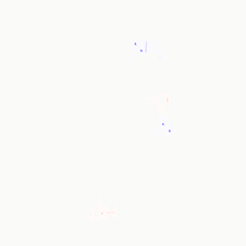 NCc1cc(CCO)no1